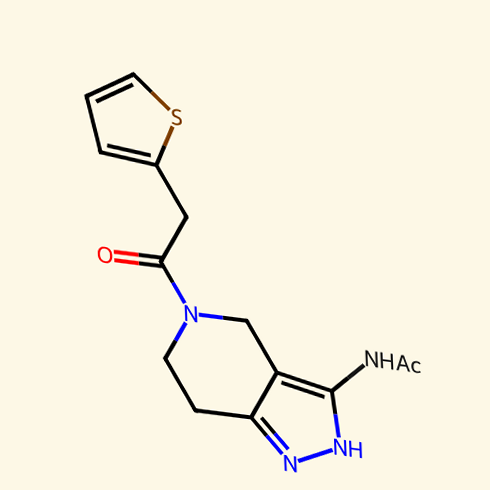 CC(=O)Nc1[nH]nc2c1CN(C(=O)Cc1cccs1)CC2